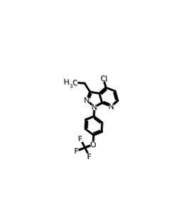 CCc1nn(-c2ccc(OC(F)(F)F)cc2)c2nccc(Cl)c12